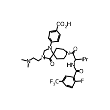 CC(C)C(NC(=O)c1cc(C(F)(F)F)ccc1F)C(=O)N1CCC2(CC1)C(=O)N(CCN(C)C)CN2c1ccc(C(=O)O)cc1